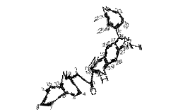 O=C(Cc1ccc2ccccc2n1)c1nc2cc3c(-c4ccncc4)n[nH]c3cc2[nH]1